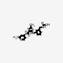 Cc1cc(NC(=O)c2nc(C)sc2Nc2cccc(CNC(=O)O)c2)ccn1